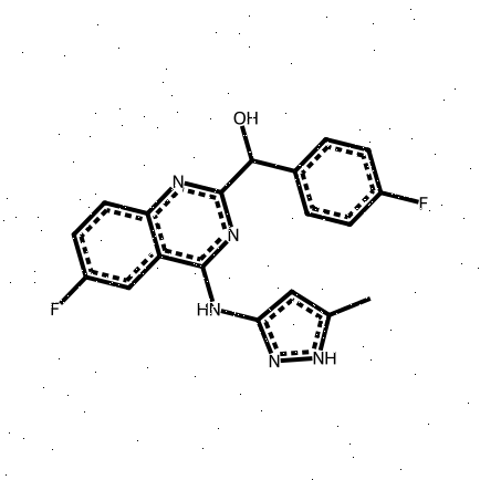 Cc1cc(Nc2nc(C(O)c3ccc(F)cc3)nc3ccc(F)cc23)n[nH]1